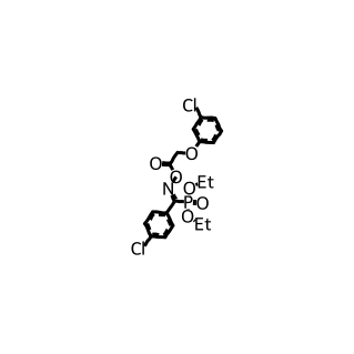 CCOP(=O)(OCC)C(=NOC(=O)COc1cccc(Cl)c1)c1ccc(Cl)cc1